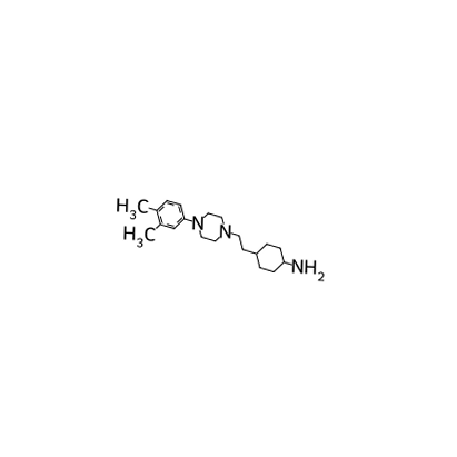 Cc1ccc(N2CCN(CCC3CCC(N)CC3)CC2)cc1C